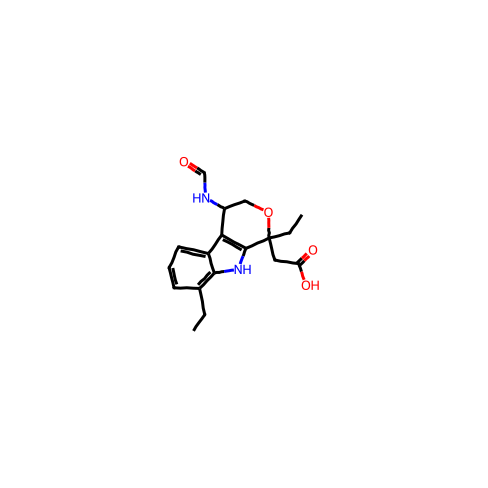 CCc1cccc2c3c([nH]c12)C(CC)(CC(=O)O)OCC3NC=O